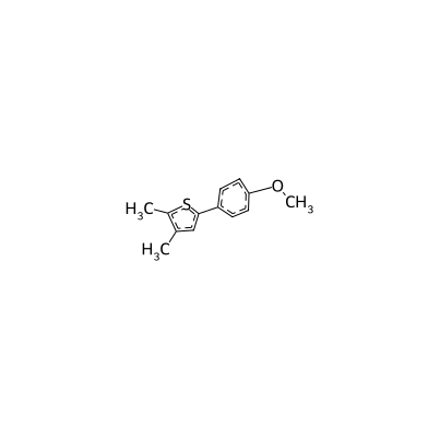 COc1ccc(-c2cc(C)c(C)s2)cc1